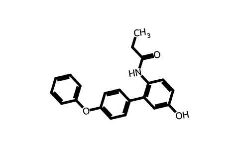 CCC(=O)Nc1ccc(O)cc1-c1ccc(Oc2ccccc2)cc1